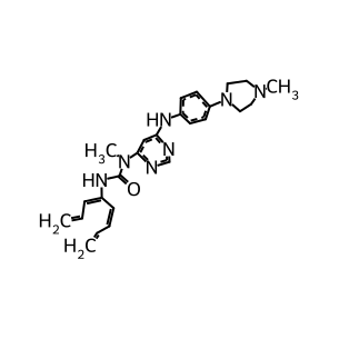 C=C/C=C\C(=C/C=C)NC(=O)N(C)c1cc(Nc2ccc(N3CCN(C)CC3)cc2)ncn1